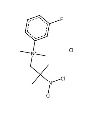 CC(C)(C[N+](C)(C)c1cccc(F)c1)N(Cl)Cl.[Cl-]